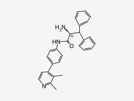 Cc1nccc(-c2ccc(NC(=O)[C@@H](N)C(c3ccccc3)c3ccccc3)cc2)c1C